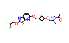 CC(=O)N[C@@H](C)CO[C@H]1C[C@H](COc2ccc3nc(OC[C@@H](C)F)sc3n2)C1